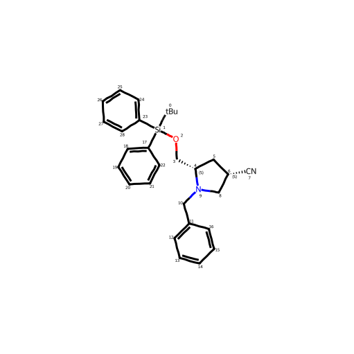 CC(C)(C)[Si](OC[C@@H]1C[C@H](C#N)CN1Cc1ccccc1)(c1ccccc1)c1ccccc1